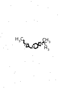 CCCN1CC(CN2CCC3(CC2)CN(C(C)C)C3)C1